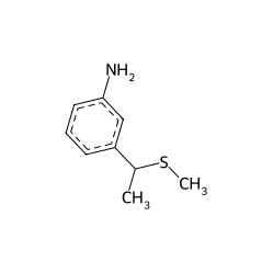 CSC(C)c1cccc(N)c1